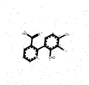 O=Cc1c(-c2ncccc2C(O)=S)ccc(Cl)c1F